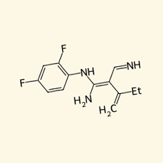 C=C(CC)/C(C=N)=C(\N)Nc1ccc(F)cc1F